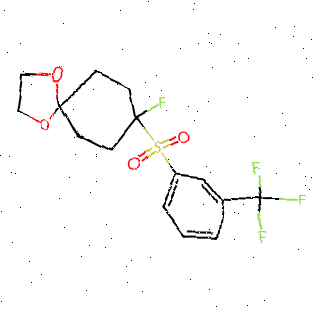 O=S(=O)(c1cccc(C(F)(F)F)c1)C1(F)CCC2(CC1)OCCO2